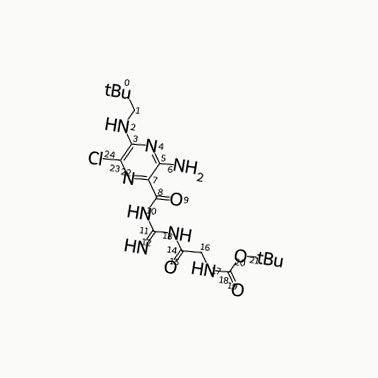 CC(C)(C)CNc1nc(N)c(C(=O)NC(=N)NC(=O)CNC(=O)OC(C)(C)C)nc1Cl